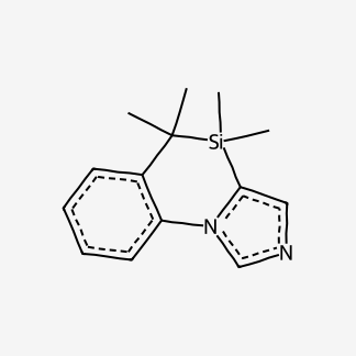 CC1(C)c2ccccc2-n2cncc2[Si]1(C)C